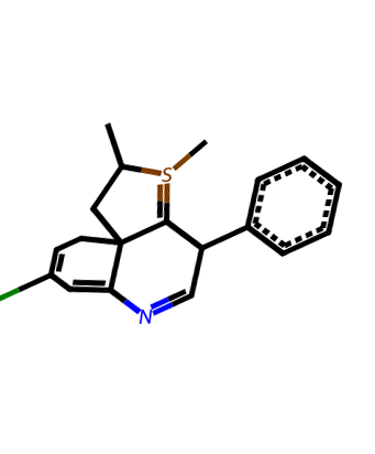 CC1CC23CC=C(Cl)C=C2N=CC(c2ccccc2)C3=S1C